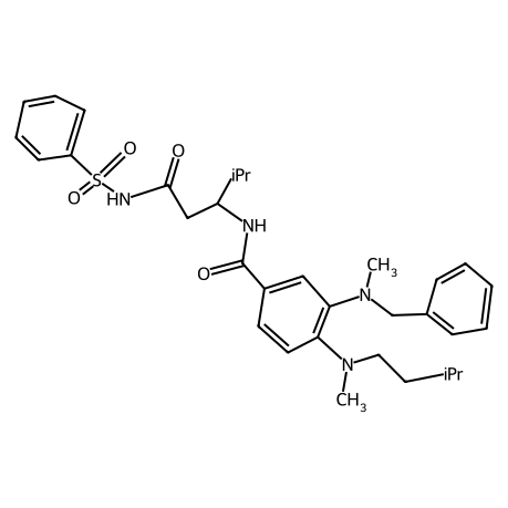 CC(C)CCN(C)c1ccc(C(=O)NC(CC(=O)NS(=O)(=O)c2ccccc2)C(C)C)cc1N(C)Cc1ccccc1